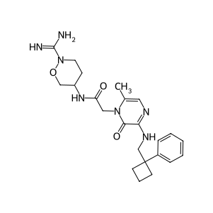 Cc1cnc(NCC2(c3ccccc3)CCC2)c(=O)n1CC(=O)NC1CCN(C(=N)N)OC1